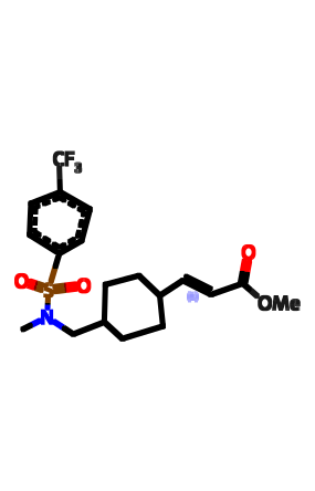 COC(=O)/C=C/C1CCC(CN(C)S(=O)(=O)c2ccc(C(F)(F)F)cc2)CC1